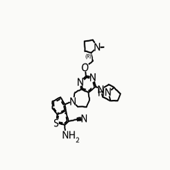 CN1CCC[C@@H]1COc1nc2c(c(N3CC4CCC(C3)N4)n1)CCCN(c1cccc3sc(N)c(C#N)c13)C2